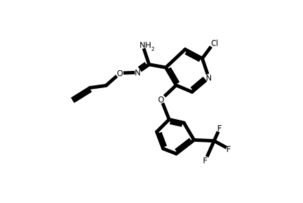 C=CCON=C(N)c1cc(Cl)ncc1Oc1cccc(C(F)(F)F)c1